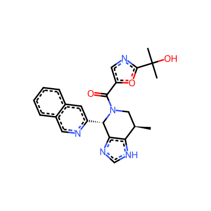 C[C@@H]1CN(C(=O)c2cnc(C(C)(C)O)o2)[C@@H](c2cc3ccccc3cn2)c2nc[nH]c21